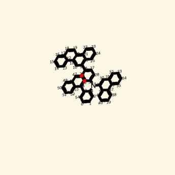 c1ccc(N(c2ccc(-c3cc4c5ccccc5ccc4c4ccccc34)cc2)c2cc3ccccc3c3ccccc23)c(-c2cccc3ccccc23)c1